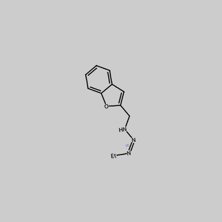 CC/N=N\NCc1cc2ccccc2o1